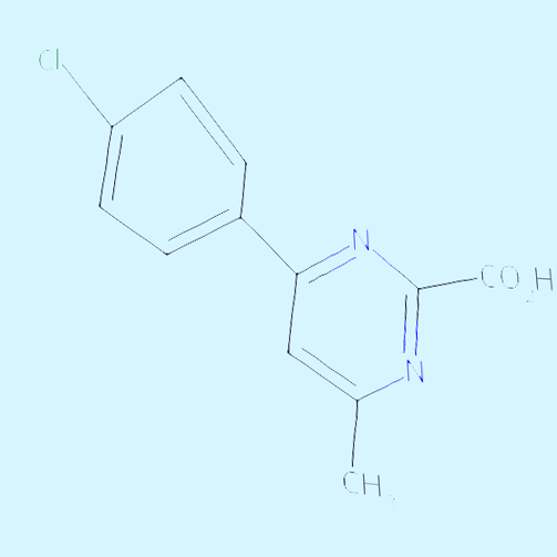 Cc1cc(-c2ccc(Cl)cc2)nc(C(=O)O)n1